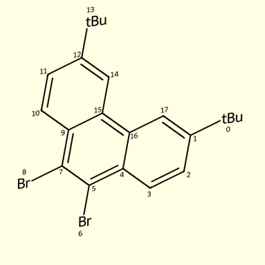 CC(C)(C)c1ccc2c(Br)c(Br)c3ccc(C(C)(C)C)cc3c2c1